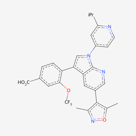 Cc1noc(C)c1-c1cnc2c(c1)c(-c1ccc(C(=O)O)cc1OC(F)(F)F)cn2-c1ccnc(C(C)C)c1